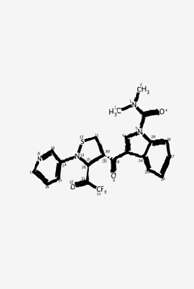 CN(C)C(=O)n1cc(C(=O)[C@H]2CSN(c3cccnc3)[C@@H]2C(=O)C(F)(F)F)c2ccccc21